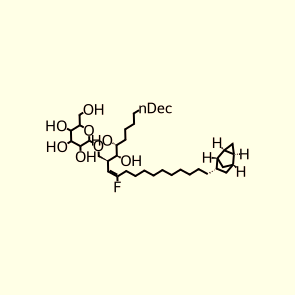 CCCCCCCCCCCCCC[C@@H](O)[C@@H](O)[C@@H](/C=C(/F)CCCCCCCCCC[C@H]1C[C@@H]2C[C@H]1[C@H]1C[C@@H]21)COC1OC(CO)C(O)C(O)C1O